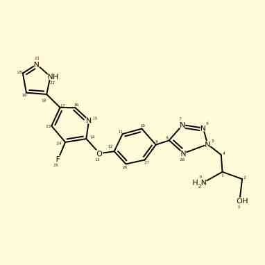 NC(CO)Cn1nnc(-c2ccc(Oc3ncc(-c4ccn[nH]4)cc3F)cc2)n1